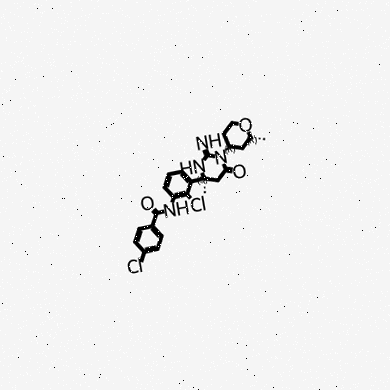 C[C@@H]1C[C@H](N2C(=N)N[C@](C)(c3cccc(NC(=O)c4ccc(Cl)cc4)c3Cl)CC2=O)CCO1